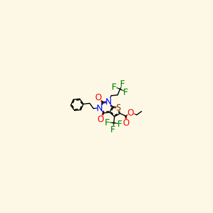 CCOC(=O)c1sc2c(c1C(F)(F)F)c(=O)n(CCc1ccccc1)c(=O)n2CCC(F)(F)F